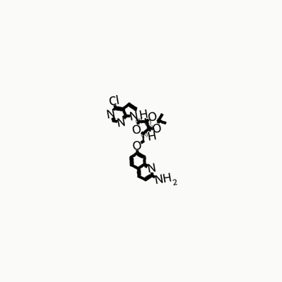 CC1(C)O[C@@H]2[C@H](O1)[C@@H](COc1ccc3ccc(N)nc3c1)O[C@H]2n1ccc2c(Cl)ncnc21